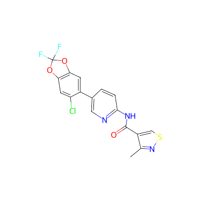 Cc1nscc1C(=O)Nc1ccc(-c2cc3c(cc2Cl)OC(F)(F)O3)cn1